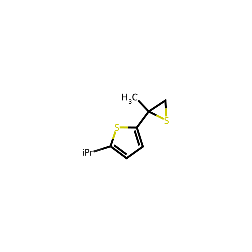 CC(C)c1ccc(C2(C)CS2)s1